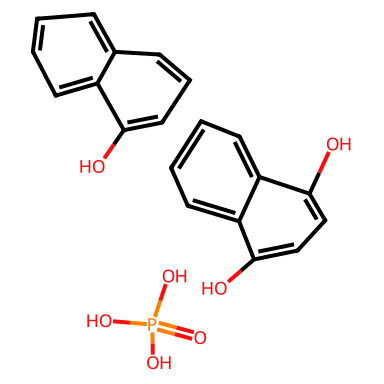 O=P(O)(O)O.Oc1ccc(O)c2ccccc12.Oc1cccc2ccccc12